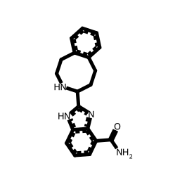 NC(=O)c1cccc2[nH]c(C3CCc4ccccc4CCN3)nc12